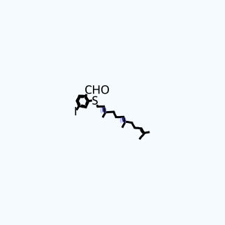 CC(C)=CCC/C(C)=C/CC/C(C)=C/CSc1cc(I)ccc1C=O